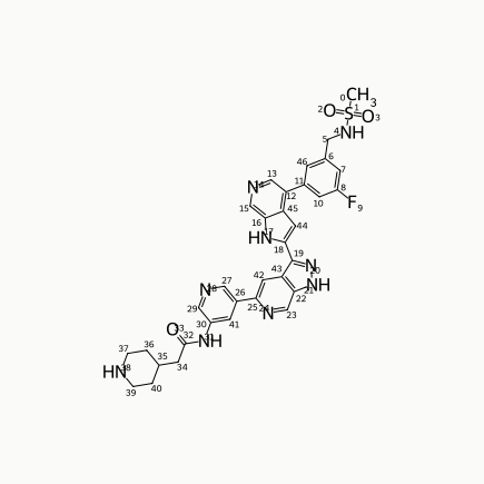 CS(=O)(=O)NCc1cc(F)cc(-c2cncc3[nH]c(-c4n[nH]c5cnc(-c6cncc(NC(=O)CC7CCNCC7)c6)cc45)cc23)c1